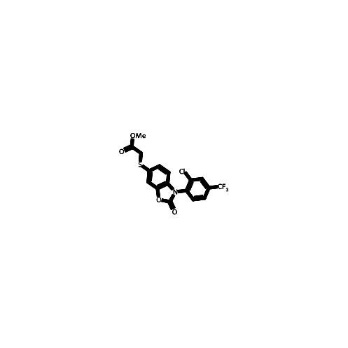 COC(=O)CSc1ccc2c(c1)oc(=O)n2-c1ccc(C(F)(F)F)cc1Cl